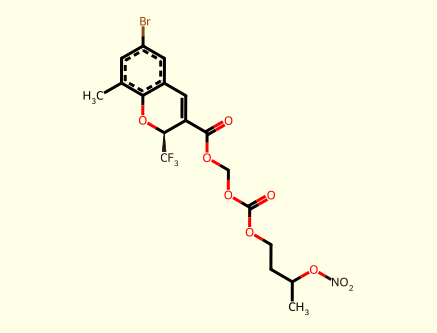 Cc1cc(Br)cc2c1O[C@H](C(F)(F)F)C(C(=O)OCOC(=O)OCCC(C)O[N+](=O)[O-])=C2